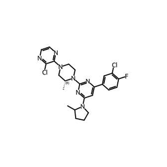 CC1CCCN1c1cc(-c2ccc(F)c(Cl)c2)nc(N2CCN(c3nccnc3Cl)C[C@H]2C)n1